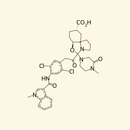 CN1CCN(C(O[C@H]2CC[C@H](C(=O)O)CC2)(C(=O)Cc2cc(Cl)c(NC(=O)c3cn(C)c4ccccc34)cc2Cl)N2CCCC2)CC1=O